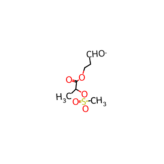 CC(OS(C)(=O)=O)C(=O)OCC[C]=O